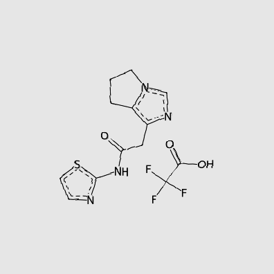 O=C(Cc1ncn2c1CCC2)Nc1nccs1.O=C(O)C(F)(F)F